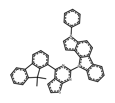 CC1(C)c2ccccc2-c2cccc(-c3nc(-n4c5ccccc5c5ccc6c(ccn6-c6ccccc6)c54)nc4sccc34)c21